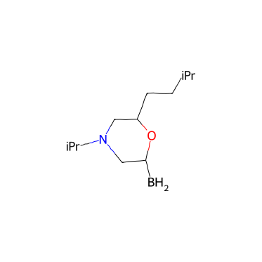 BC1CN(C(C)C)CC(CCC(C)C)O1